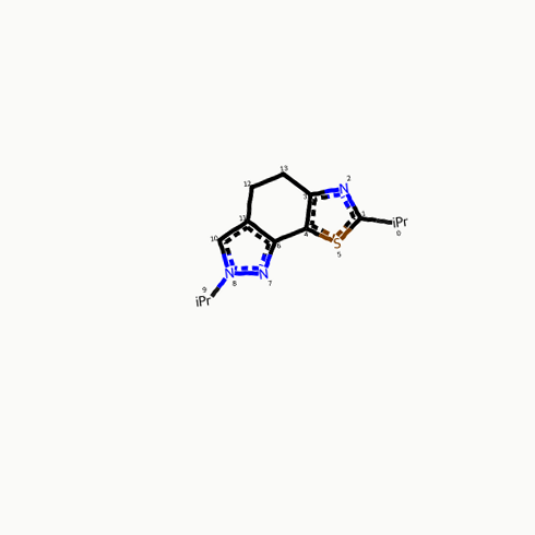 CC(C)c1nc2c(s1)-c1nn(C(C)C)cc1CC2